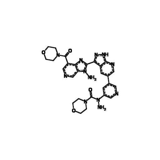 NN(C(=O)N1CCOCC1)c1cncc(-c2cnc3[nH]nc(-c4nc5c(C(=O)N6CCOCC6)cncc5n4N)c3c2)c1